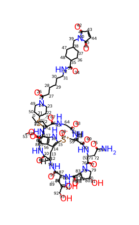 CC[C@H](C)[C@@H]1NC(=O)CNC(=O)[C@@H]2Cc3c([nH]c4c(CSC5CCN(C(=O)CCCCCNC(=O)C6CCC(CN7C(=O)C=CC7=O)CC6)CC5)c(OC)ccc34)[S+]([O-])C[C@H](NC(=O)CNC1=O)C(=O)N[C@@H](CC(N)=O)C(=O)N1C[C@H](O)C[C@H]1C(=O)N[C@@H]([C@@H](C)[C@@H](O)CO)C(=O)N2